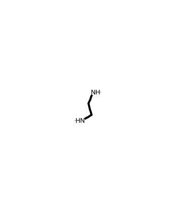 [NH]CC[NH]